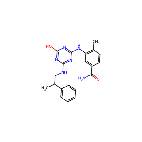 Cc1ccc(C(N)=O)cc1Nc1nc(O)nc(NCC(C)c2ccccc2)n1